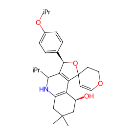 CC(C)Oc1ccc([C@H]2OC3(C=COCC3)C3=C2C(C(C)C)NC2=C3[C@@H](O)CC(C)(C)C2)cc1